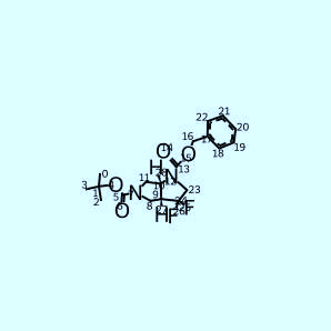 CC(C)(C)OC(=O)N1C[C@@H]2[C@H](C1)N(C(=O)OCc1ccccc1)CC2(F)F